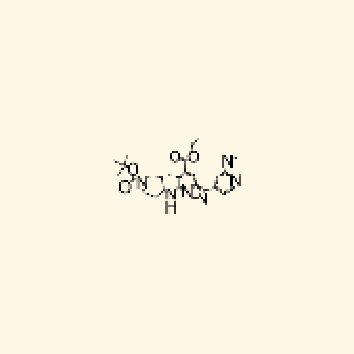 CCOC(=O)c1cc2c(-c3ccnc(N(C)C)c3)ncn2c(NC2CCN(C(=O)OC(C)(C)C)CC2)c1C